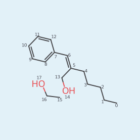 CCCCCC(=Cc1ccccc1)CO.CCO